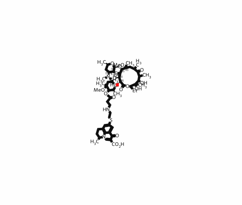 CCC1OC(=O)[C@H](C)[C@@H](OC2CC(C)(OC)C(OC(=O)CCNCCSc3cc4c5c(c3)c(=O)c(C(=O)O)cn5C(C)CC4)[C@H](C)O2)C(C)[C@@H](O[C@@H]2O[C@H](C)C[C@H](N(C)C)C2O)[C@](C)(OC)CC(C)C(=O)C(C)C(O)C1(C)O